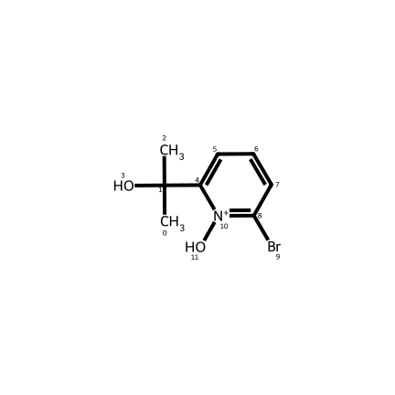 CC(C)(O)c1cccc(Br)[n+]1O